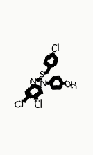 Oc1ccc(-n2c(SCc3ccc(Cl)cc3)nc3cc(Cl)c(Cl)cc32)cc1